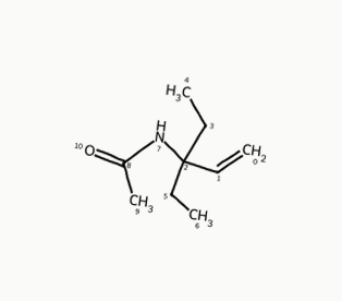 C=CC(CC)(CC)NC(C)=O